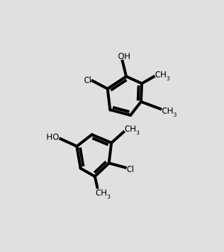 Cc1cc(O)cc(C)c1Cl.Cc1ccc(Cl)c(O)c1C